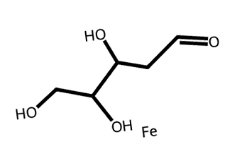 O=CCC(O)C(O)CO.[Fe]